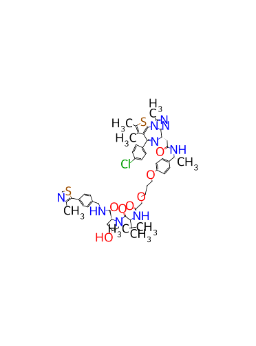 Cc1ncsc1-c1ccc(CNC(=O)[C@@H]2C[C@@H](O)CN2C(=O)C(NC(=O)COCCCOc2ccc([C@@H](C)NC(=O)C[C@@H]3N=C(c4ccc(Cl)cc4)c4c(sc(C)c4C)-n4c(C)nnc43)cc2)C(C)(C)C)cc1